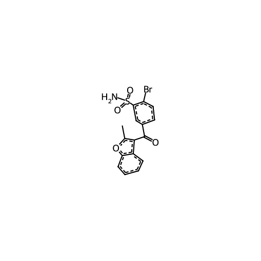 Cc1oc2ccccc2c1C(=O)c1ccc(Br)c(S(N)(=O)=O)c1